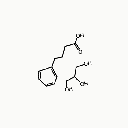 O=C(O)CCCc1ccccc1.OCC(O)CO